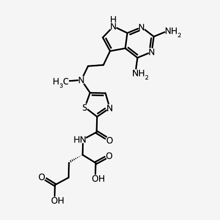 CN(CCc1c[nH]c2nc(N)nc(N)c12)c1cnc(C(=O)N[C@@H](CCC(=O)O)C(=O)O)s1